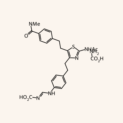 CNC(=O)c1ccc(CCc2sc(NC(C)=O)nc2CCc2ccc(NC=NC(=O)O)cc2)cc1.NC(=O)O